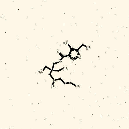 CCCCN(C)CC(CC)(CC)CNC(=O)c1noc(CC)c1C